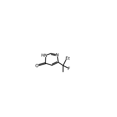 CCC(C)(F)c1cc(=O)[nH]cn1